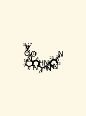 CC(c1ccc2c(n1)CCCN2C(=O)OC1CC1)c1nc2ncc(C#N)cc2[nH]1